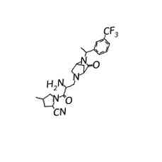 CC1CC(C#N)N(C(=O)C(N)CN2CC3CC2C(=O)N3C(C)c2cccc(C(F)(F)F)c2)C1